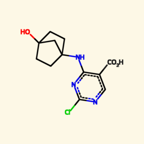 O=C(O)c1cnc(Cl)nc1NC12CCC(O)(CC1)C2